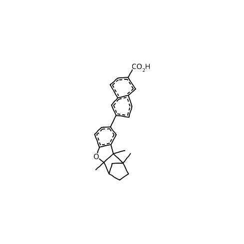 CC12CCC(C1)C1(C)Oc3ccc(-c4ccc5cc(C(=O)O)ccc5c4)cc3C21C